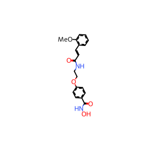 COc1ccccc1/C=C/C(=O)NCCOc1ccc(C(=O)NO)cc1